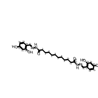 O=C(CCCCCCCCCCC(=O)NN=Cc1ccc(O)cc1O)NN=Cc1ccc(O)cc1O